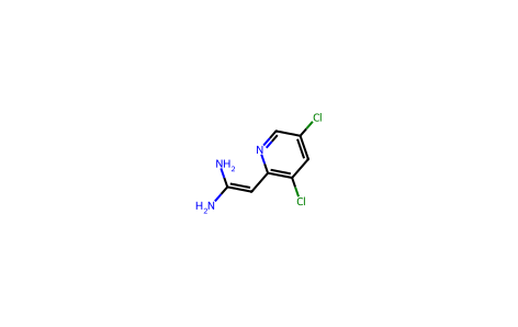 NC(N)=Cc1ncc(Cl)cc1Cl